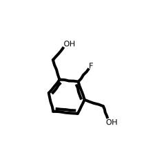 OCc1cccc(CO)c1F